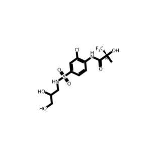 C[C@@](O)(C(=O)Nc1ccc(S(=O)(=O)NCC(O)CO)cc1Cl)C(F)(F)F